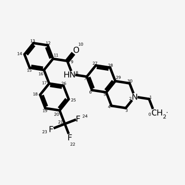 [CH2]CN1CCc2cc(NC(=O)c3ccccc3-c3ccc(C(F)(F)F)cc3)ccc2C1